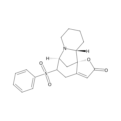 O=C1C=C2CC(S(=O)(=O)c3ccccc3)[C@@H]3C[C@@]2(O1)[C@H]1CCCCN31